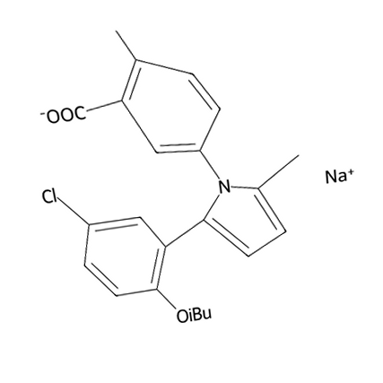 Cc1ccc(-n2c(C)ccc2-c2cc(Cl)ccc2OCC(C)C)cc1C(=O)[O-].[Na+]